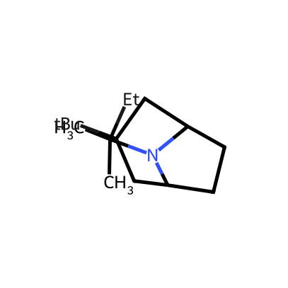 CCC(C)(C)N1C2CCC1CC(C(C)(C)C)C2